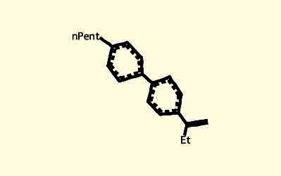 C=C(CC)c1ccc(-c2ccc(CCCCC)cc2)cc1